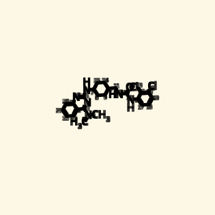 CN(C)c1nc(NC2CCC(CNC(=O)Nc3cccc(Cl)c3Cl)CC2)nc2ccccc12